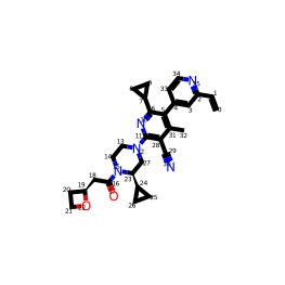 C=Cc1cc(-c2c(C3CC3)nc(N3CCN(C(=O)C[C@@H]4CCO4)[C@H](C4CC4)C3)c(C#N)c2C)ccn1